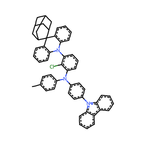 Cc1ccc(N(c2ccc(-n3c4ccccc4c4ccccc43)cc2)c2cccc(N3c4ccccc4C4(c5ccccc53)C3CC5CC(C3)CC4C5)c2Cl)cc1